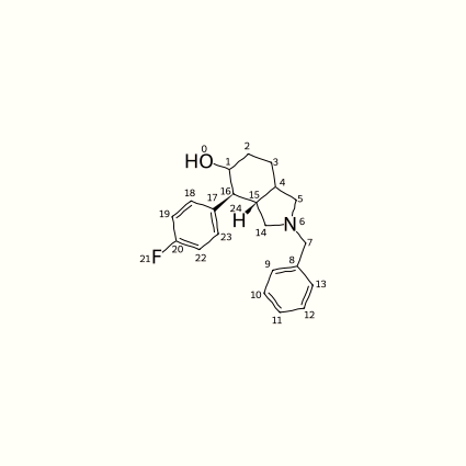 OC1CCC2CN(Cc3ccccc3)C[C@@H]2[C@H]1c1ccc(F)cc1